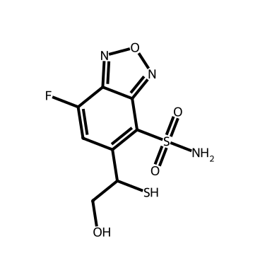 NS(=O)(=O)c1c(C(S)CO)cc(F)c2nonc12